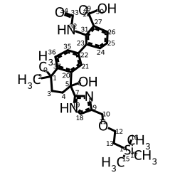 CC1(C)CCC(O)(c2nc(COCC[Si](C)(C)C)c[nH]2)c2cc(-c3cccc(C(=O)O)c3NC=O)ccc21